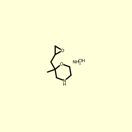 CC1(CC2CO2)CNCCO1.Cl.N